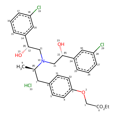 CCOC(=O)COc1ccc(C[C@@H](C)N(C[C@H](O)c2cccc(Cl)c2)C[C@H](O)c2cccc(Cl)c2)cc1.Cl